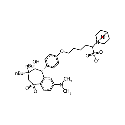 CCCCC1(CCCC)CS(=O)(=O)c2ccc(N(C)C)cc2[C@@H](c2ccc(OCCCCC([N+]34CCC(CC3)CN4)S(=O)(=O)[O-])cc2)[C@H]1O